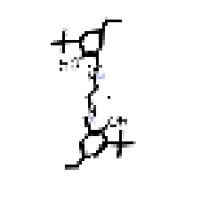 CCc1cc(/C=N/CC/N=C/c2cc(CC)cc(C(C)(C)C)c2O)c(O)c(C(C)(C)C)c1